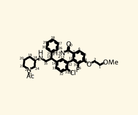 COCCOc1ccc(C(N)=O)c(-c2cc(C(CN[C@@H]3CCCN(C(C)=O)C3)c3ccccc3)ccc2Cl)c1F